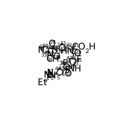 CCc1cn(-c2ccc(S(=O)(=O)Nc3cc(F)c(C(=O)N[C@@H](Cc4ccc(-n5c(=O)c6ccncc6n(C)c5=O)cc4)C(=O)O)cc3F)cc2)nn1